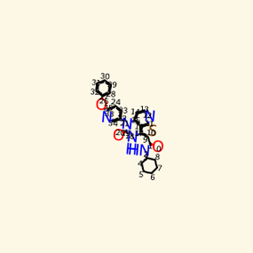 O=C(NC1CCCCC1)c1sc2nccc3c2c1NC(=O)N3c1ccc(Oc2ccccc2)nc1